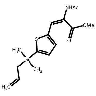 C=CC[Si](C)(C)c1ccc(C=C(NC(C)=O)C(=O)OC)s1